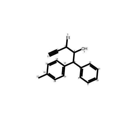 C#CC(CC)C(O)C(c1ccccc1)c1ccc(C)cc1